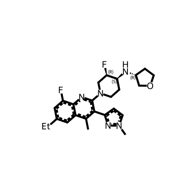 CCc1cc(F)c2nc(N3CC[C@H](N[C@@H]4CCOC4)[C@H](F)C3)c(-c3ccn(C)n3)c(C)c2c1